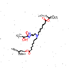 CCCCCCCCC(CCCCCCCC)OC(=O)CCCCCCCN(CCCCCCCC(=O)OCCC(CCCC)CCCC)CCCNC(=O)C(C)O